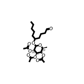 CCCCCC(CCCC=O)OC1O[C@@H](C)[C@@H](OC(C)=O)[C@@H](OC(C)=O)[C@@H]1OC(C)=O